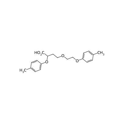 Cc1ccc(OCCOCCC(Oc2ccc(C)cc2)C(=O)O)cc1